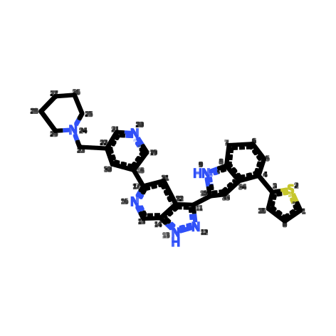 c1csc(-c2cccc3[nH]c(-c4n[nH]c5cnc(-c6cncc(CN7CCCCC7)c6)cc45)cc23)c1